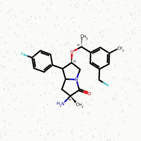 C[C@@H](O[C@H]1CN2C(=O)[C@](C)(N)CC2C1c1ccc(F)cc1)c1cc(CF)cc(C(F)(F)F)c1